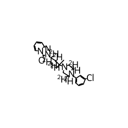 [2H]C1([2H])CN(C([2H])(C)C([2H])([2H])C([2H])([2H])n2nc3ccccn3c2=O)CC([2H])([2H])N1c1cccc(Cl)c1